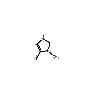 CN1[CH]NC=C1Cl